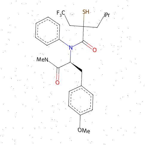 CNC(=O)[C@H](Cc1ccc(OC)cc1)N(C(=O)C(S)(CC(C)C)CC(F)(F)F)c1ccccc1